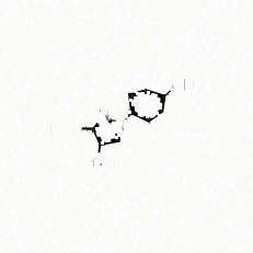 Cc1ccc(-n2cc(N)c(C)n2)cc1